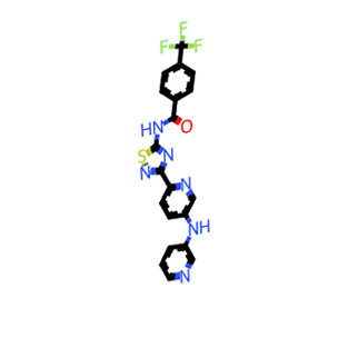 O=C(Nc1nc(-c2ccc(Nc3cccnc3)cn2)ns1)c1ccc(C(F)(F)F)cc1